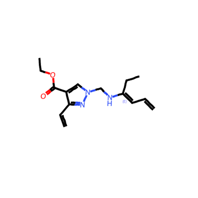 C=C/C=C(\CC)NCn1cc(C(=O)OCC)c(C=C)n1